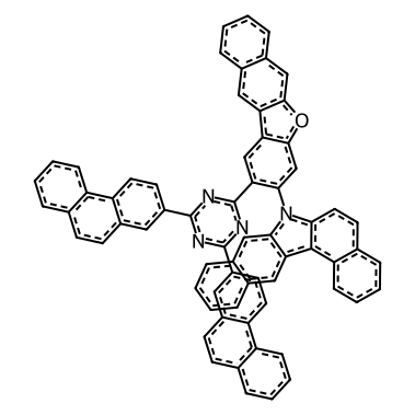 c1ccc2cc3c(cc2c1)oc1cc(-n2c4cc5ccccc5cc4c4c5ccccc5ccc42)c(-c2nc(-c4ccc5c(ccc6ccccc65)c4)nc(-c4ccc5c(ccc6ccccc65)c4)n2)cc13